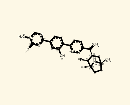 C=C(c1ccc(-c2ccc(-c3ncn(C)c(=O)n3)cc2O)nn1)[C@H]1C[C@]2(C)CC[C@@H](N2)[C@H]1F